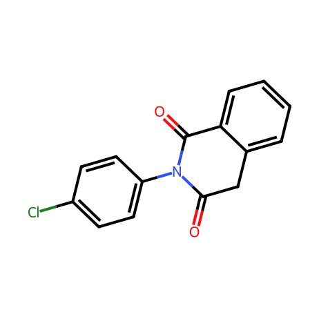 O=C1Cc2ccccc2C(=O)N1c1ccc(Cl)cc1